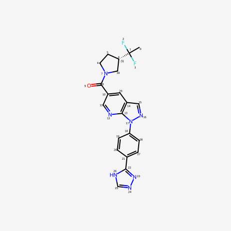 CC(F)(F)[C@H]1CCN(C(=O)c2cnc3c(cnn3-c3ccc(-c4nnc[nH]4)cc3)c2)C1